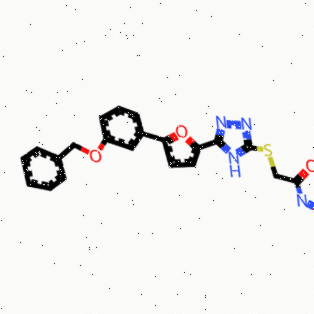 O=NC(=O)CSc1nnc(-c2ccc(-c3cccc(OCc4ccccc4)c3)o2)[nH]1